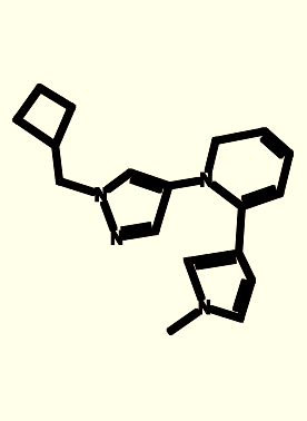 Cn1ccc(C2=CC=CCN2c2cnn(CC3CCC3)c2)c1